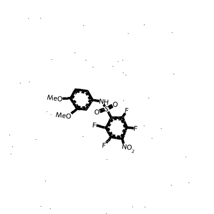 COc1ccc(NS(=O)(=O)c2c(F)c(F)c([N+](=O)[O-])c(F)c2F)cc1OC